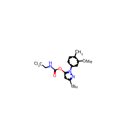 COc1cc(-n2nc(C(C)(C)C)cc2OC(=O)NCC(Cl)(Cl)Cl)ccc1C